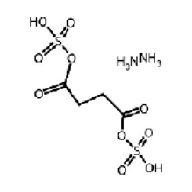 N.N.O=C(CCC(=O)OS(=O)(=O)O)OS(=O)(=O)O